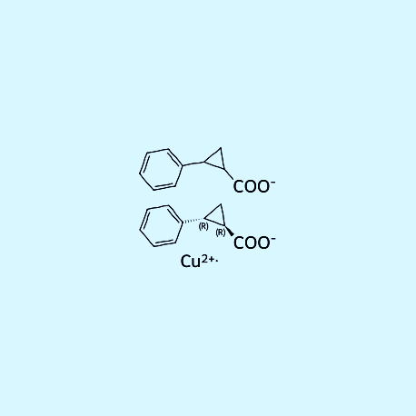 O=C([O-])C1CC1c1ccccc1.O=C([O-])[C@@H]1C[C@H]1c1ccccc1.[Cu+2]